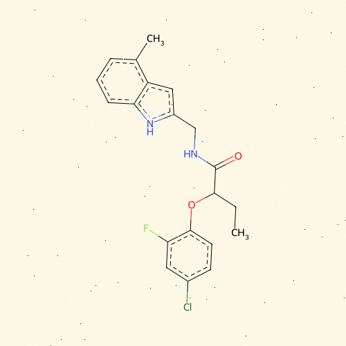 CCC(Oc1ccc(Cl)cc1F)C(=O)NCc1cc2c(C)cccc2[nH]1